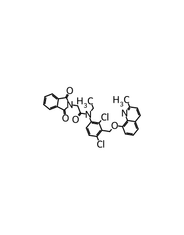 CCN(C(=O)CN1C(=O)c2ccccc2C1=O)c1ccc(Cl)c(COc2cccc3ccc(C)nc23)c1Cl